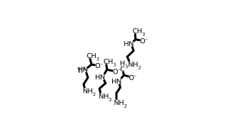 CC([O-])NCCN.CC([O-])NCCN.CC([O-])NCCN.CC([O-])NCCN.[Ti+4]